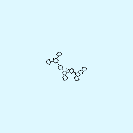 c1ccc(-c2nc(-c3ccccc3)nc(-c3ccc(-c4cc5ccccc5c5c4oc4ccc(-n6c7ccccc7c7cc8ccccc8cc76)cc45)cc3)n2)cc1